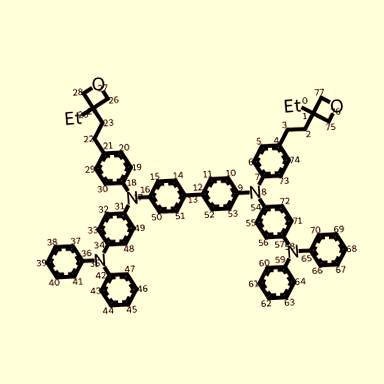 CCC1(CCc2ccc(N(c3ccc(-c4ccc(N(c5ccc(CCC6(CC)COC6)cc5)c5ccc(N(c6ccccc6)c6ccccc6)cc5)cc4)cc3)c3ccc(N(c4ccccc4)c4ccccc4)cc3)cc2)COC1